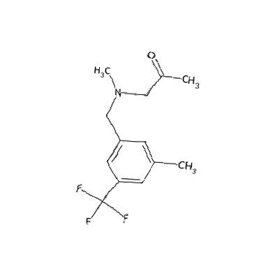 CC(=O)CN(C)Cc1cc(C)cc(C(F)(F)F)c1